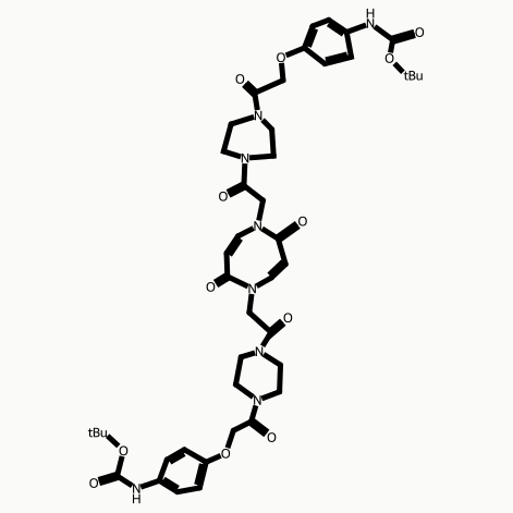 CC(C)(C)OC(=O)Nc1ccc(OCC(=O)N2CCN(C(=O)CN3C=CC(=O)N(CC(=O)N4CCN(C(=O)COc5ccc(NC(=O)OC(C)(C)C)cc5)CC4)C=CC3=O)CC2)cc1